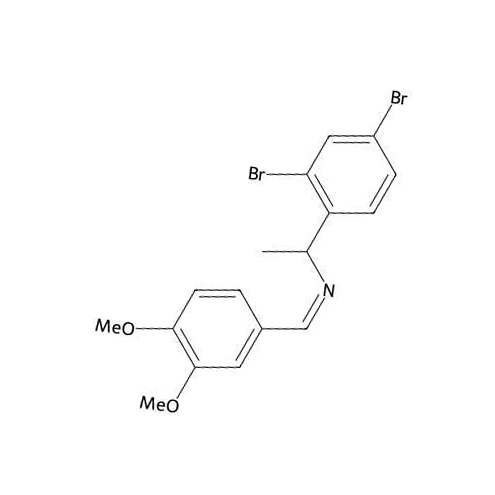 COc1ccc(/C=N\C(C)c2ccc(Br)cc2Br)cc1OC